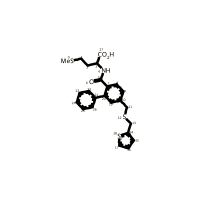 CSCCC(NC(=O)c1ccc(CSCc2cccs2)cc1-c1ccccc1)C(=O)O